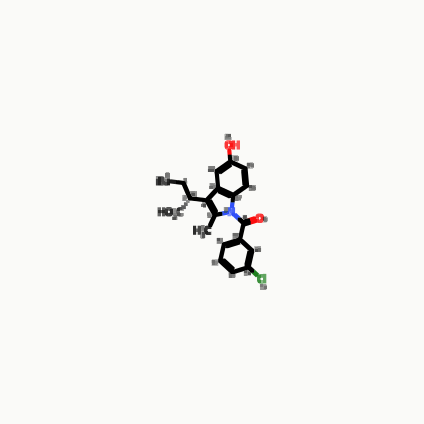 CCC(C)C[C@@H](C(=O)O)c1c(C)n(C(=O)c2cccc(Cl)c2)c2ccc(O)cc12